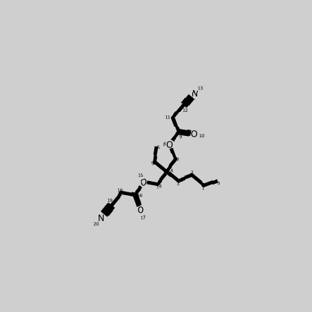 CCCCC(CC)(COC(=O)CC#N)COC(=O)CC#N